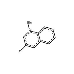 CC(C)(C)[n+]1cc(F)cc2ccccc21